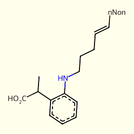 CCCCCCCCCC=CCCCNc1ccccc1C(C)C(=O)O